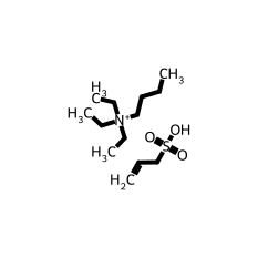 C=CCS(=O)(=O)O.CCCC[N+](CC)(CC)CC